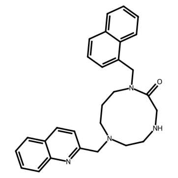 O=C1CNCCN(Cc2ccc3ccccc3n2)CCCN1Cc1cccc2ccccc12